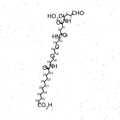 O=[C]CCC(NC(=O)CCC(=O)NCCOCCOCCNC(=O)CCCCCCCCCCC(=O)O)C(=O)O